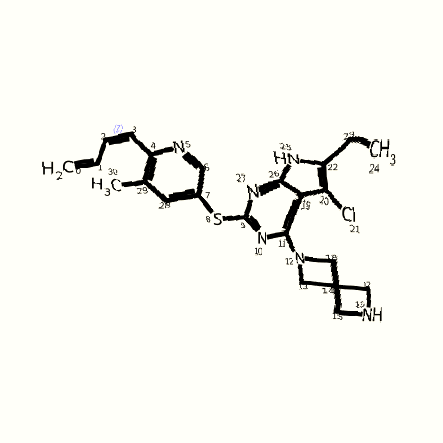 C=C/C=C\c1ncc(Sc2nc(N3CC4(CNC4)C3)c3c(Cl)c(CC)[nH]c3n2)cc1C